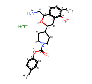 Cc1ccc(OC(=O)N2CCC([C@@H]3Cc4c(ccc(C)c4O)[C@H](CN)O3)CC2)cc1.Cl